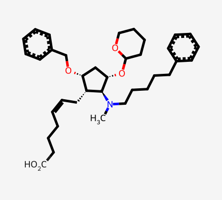 CN(CCCCCc1ccccc1)[C@H]1[C@H](C/C=C\CCCC(=O)O)[C@H](OCc2ccccc2)C[C@@H]1OC1CCCCO1